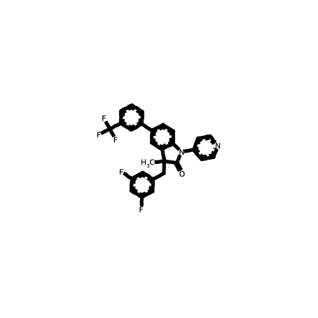 CC1(Cc2cc(F)cc(F)c2)C(=O)N(c2ccncc2)c2ccc(-c3cccc(C(F)(F)F)c3)cc21